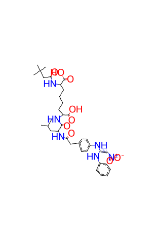 CC(C)CC(NC(=O)Cc1ccc(N/C(=C/[N+](=O)[O-])Nc2ccccc2)cc1)C(=O)NC(CCCCC(NC(=O)CC(C)(C)C)C(=O)O)C(=O)O